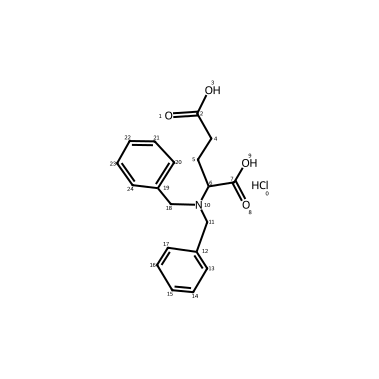 Cl.O=C(O)CCC(C(=O)O)N(Cc1ccccc1)Cc1ccccc1